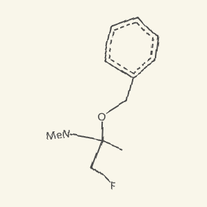 CNC(C)(CF)OCc1ccccc1